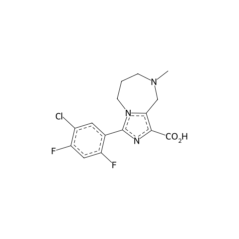 CN1CCCn2c(-c3cc(Cl)c(F)cc3F)nc(C(=O)O)c2C1